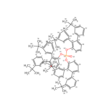 CC(C)(C)c1cccc(-c2cccc(OP(=O)(Oc3cccc(-c4cccc(C(C)(C)C)c4)c3-c3cccc(C(C)(C)C)c3)Oc3cccc(-c4cccc(C(C)(C)C)c4)c3-c3cccc(C(C)(C)C)c3)c2-c2cccc(C(C)(C)C)c2)c1